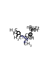 C\C=C/N=C(Nc1ccc(C(=O)NC(CC)CCCC)cc1)\C(C)=N\C=C(/C)c1ccc(C)c(F)c1F